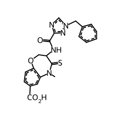 CN1C(=S)C(NC(=O)c2ncn(Cc3ccccc3)n2)COc2ccc(C(=O)O)cc21